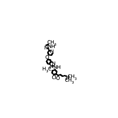 Cc1cnc(-c2cc(Oc3ccc4c(c3)nc(Nc3ccc(Cl)c(C(=O)/C=C/CN(C)C)c3)n4C)ccn2)[nH]1